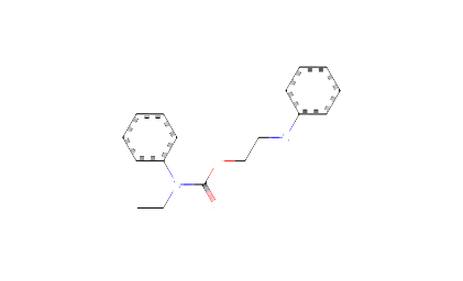 CCN(C(=O)OCCNc1ccccc1)c1ccccc1